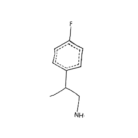 CC(C[NH])c1ccc(F)cc1